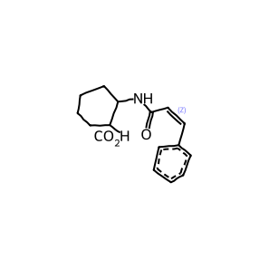 O=C(/C=C\c1ccccc1)NC1CCCCC1C(=O)O